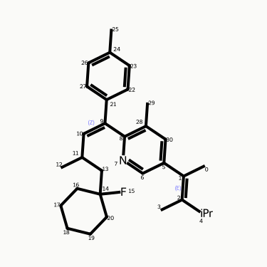 C/C(=C(/C)C(C)C)c1cnc(/C(=C\C(C)CC2(F)CCCCC2)c2ccc(C)cc2)c(C)c1